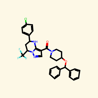 O=C(c1cnn2c1NC(c1ccc(Cl)cc1)CC2C(F)(F)F)N1CCC(OC(c2ccccc2)c2ccccc2)CC1